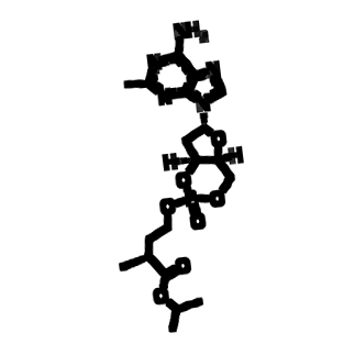 Cc1nc(N)c2ncn([C@H]3C[C@@H]4OP(=O)(OCC[C@H](C)C(=O)OC(C)C)OC[C@H]4O3)c2n1